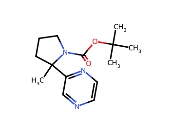 CC(C)(C)OC(=O)N1CCCC1(C)c1cnccn1